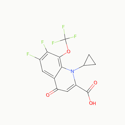 O=C(O)c1cc(=O)c2cc(F)c(F)c(OC(F)(F)F)c2n1C1CC1